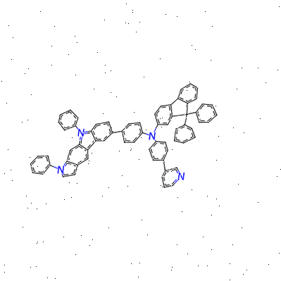 c1ccc(-n2ccc3cc4c5cc(-c6ccc(N(c7ccc(-c8cccnc8)cc7)c7ccc8c(c7)C(c7ccccc7)(c7ccccc7)c7ccccc7-8)cc6)ccc5n(-c5ccccc5)c4cc32)cc1